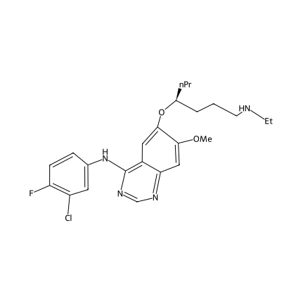 CCC[C@@H](CCCNCC)Oc1cc2c(Nc3ccc(F)c(Cl)c3)ncnc2cc1OC